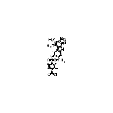 CCCc1nc2c(c(C)c(C)n3nnnc23)n1CCCS(=O)(=O)c1ccc(C(=O)Cl)cc1